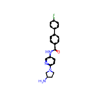 NC1CCN(c2ccc(NC(=O)c3ccc(-c4ccc(F)cc4)cc3)cn2)C1